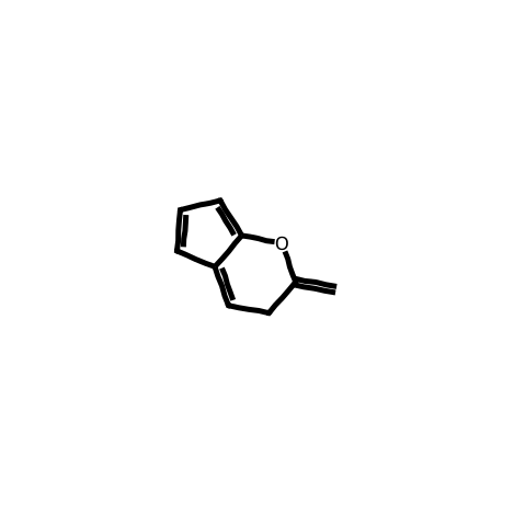 C=C1CC=C2C=CC=C2O1